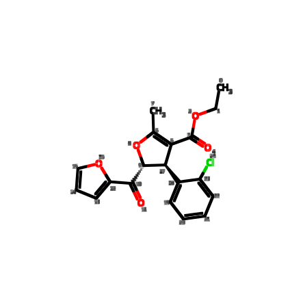 CCOC(=O)C1=C(C)O[C@@H](C(=O)c2ccco2)[C@@H]1c1ccccc1Cl